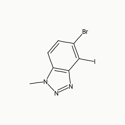 Cn1nnc2c(I)c(Br)ccc21